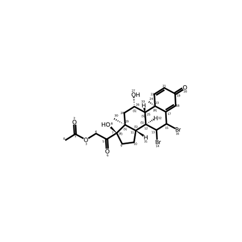 CC(=O)OCC(=O)[C@@]1(O)CC[C@H]2[C@@H]3C(Br)C(Br)C4=CC(=O)C=C[C@]4(C)[C@H]3[C@@H](O)C[C@@]21C